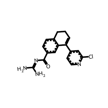 NC(N)=NC(=O)c1ccc2c(c1)C(c1ccnc(Cl)c1)=CCC2